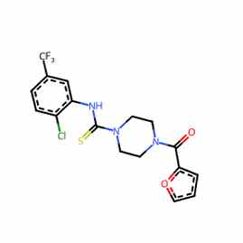 O=C(c1ccco1)N1CCN(C(=S)Nc2cc(C(F)(F)F)ccc2Cl)CC1